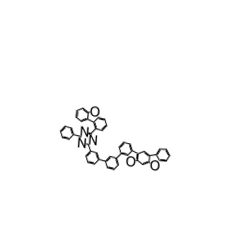 c1ccc(-c2nc(-c3cccc(-c4cccc(-c5cccc6c5oc5cc7oc8ccccc8c7cc56)c4)c3)nc(-c3cccc4oc5ccccc5c34)n2)cc1